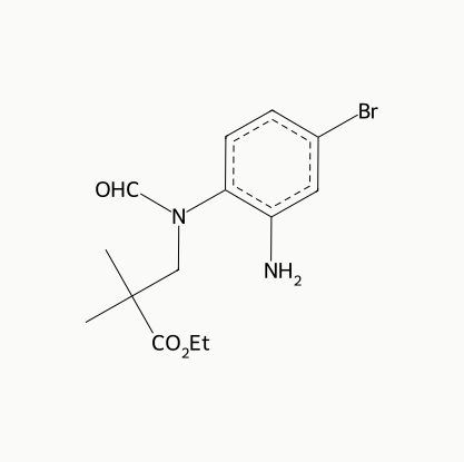 CCOC(=O)C(C)(C)CN(C=O)c1ccc(Br)cc1N